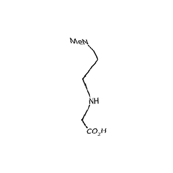 CNCCNCC(=O)O